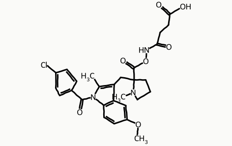 COc1ccc2c(c1)c(CC1(C(=O)ONC(=O)CCC(=O)O)CCCN1C)c(C)n2C(=O)c1ccc(Cl)cc1